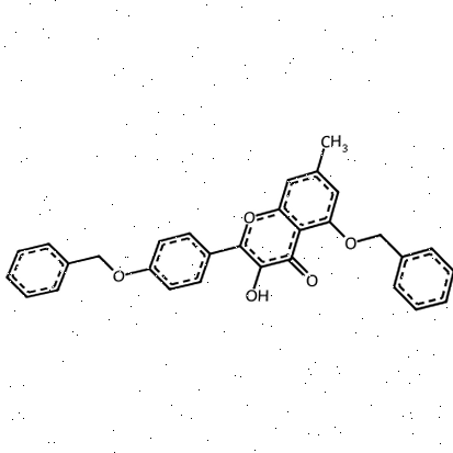 Cc1cc(OCc2ccccc2)c2c(=O)c(O)c(-c3ccc(OCc4ccccc4)cc3)oc2c1